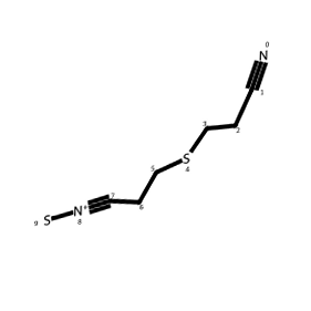 N#CCCSCCC#[N+][S-]